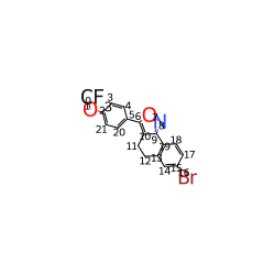 FC(F)(F)Oc1ccc(-c2onc3c2CCc2cc(Br)ccc2-3)cc1